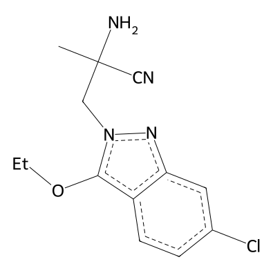 CCOc1c2ccc(Cl)cc2nn1CC(C)(N)C#N